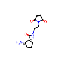 N[C@H]1CCC[C@H]1C(=O)NCCN1C(=O)C=CC1=O